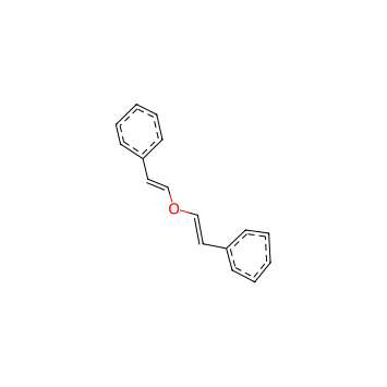 C(=C\c1ccccc1)/O/C=C/c1ccccc1